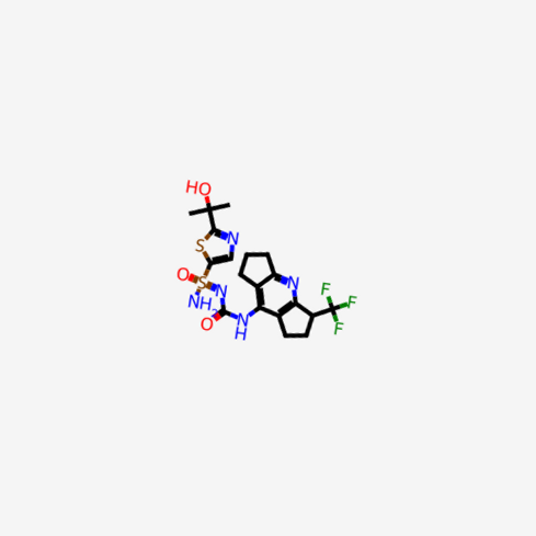 CC(C)(O)c1ncc(S(N)(=O)=NC(=O)Nc2c3c(nc4c2CCC4C(F)(F)F)CCC3)s1